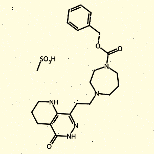 CS(=O)(=O)O.O=C(OCc1ccccc1)N1CCCN(CCc2n[nH]c(=O)c3c2NCCC3)CC1